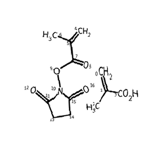 C=C(C)C(=O)O.C=C(C)C(=O)ON1C(=O)CCC1=O